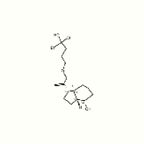 C=C(COCCCC(O)(CC)CC)[C@H]1CC[C@H]2[C@@H](O)CCC[C@]12C